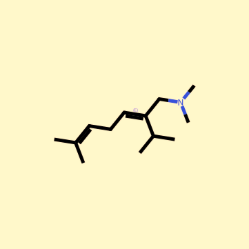 CC(C)=CC/C=C(/CN(C)C)C(C)C